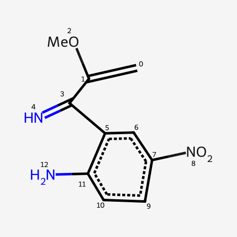 C=C(OC)C(=N)c1cc([N+](=O)[O-])ccc1N